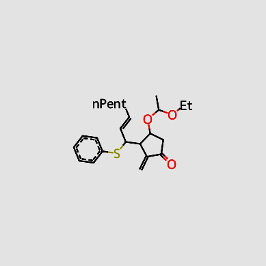 C=C1C(=O)CC(OC(C)OCC)C1C(C=CCCCCC)Sc1ccccc1